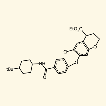 CCOC(=O)C1CCOc2cc(Oc3ccc(C(=O)NC4CCC(C(C)(C)C)CC4)cc3)c(Cl)cc21